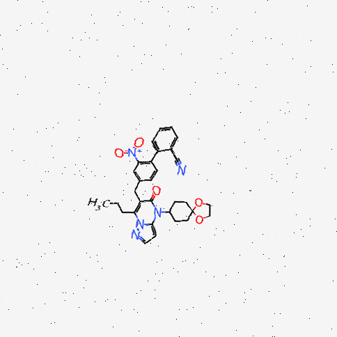 CCCc1c(Cc2ccc(-c3ccccc3C#N)c([N+](=O)[O-])c2)c(=O)n(C2CCC3(CC2)OCCO3)c2ccnn12